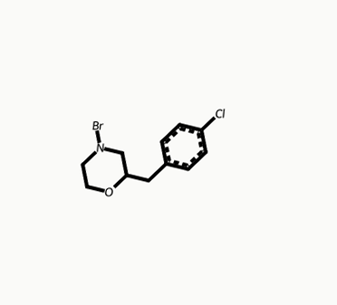 Clc1ccc(CC2CN(Br)CCO2)cc1